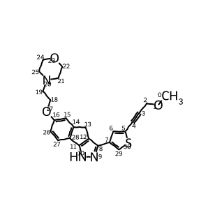 COCC#Cc1cc(-c2n[nH]c3c2Cc2cc(OCCN4CCOCC4)ccc2-3)cs1